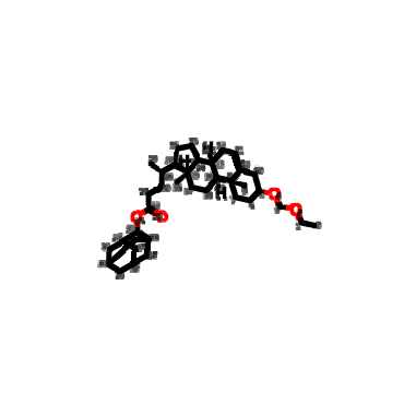 CCOCO[C@H]1CC[C@@]2(C)C(=CC[C@H]3[C@@H]4CC[C@H]([C@H](C)CCC(=O)OC5C6CC7CC(C6)CC5C7)[C@@]4(C)CC[C@@H]32)C1